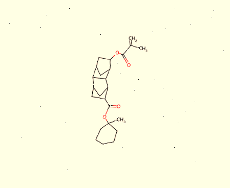 C=C(C)C(=O)OC1CC2CC1C1C3CC(CC3C(=O)OC3(C)CCCCC3)C21